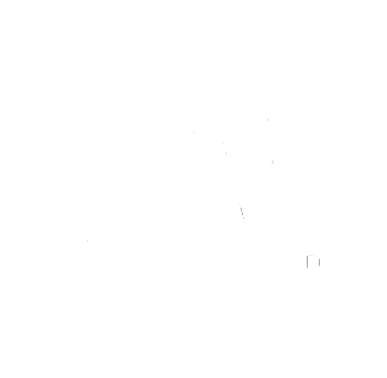 CCC1=C2c3c(ccc(c3-c3ccc(C)cc3)[Si]2(C)C)[CH]1